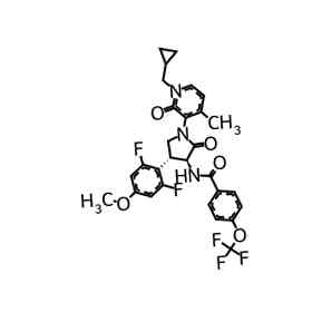 COc1cc(F)c([C@@H]2CN(c3c(C)ccn(CC4CC4)c3=O)C(=O)[C@H]2NC(=O)c2ccc(OC(F)(F)F)cc2)c(F)c1